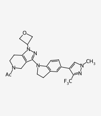 CC(=O)N1CCc2c(c(N3CCc4cc(-c5cn(C)nc5C(F)(F)F)ccc43)nn2C2COC2)C1